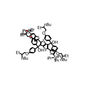 CCCCC(CC)COc1ccc(C(O)(c2ccc(OCC(CC)CCCC)cc2)c2c(-c3ccc([Si](C(C)C)(C(C)C)C(C)C)s3)sc3c(C(O)(c4ccc(OCC(CC)CCCC)cc4)c4ccc(OCC(CC)CCCC)cc4)c(-c4cc5sc([Si](C(C)C)(C(C)C)C(C)C)cc5s4)sc23)cc1